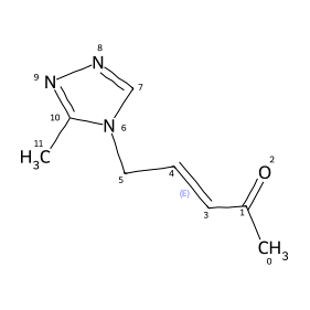 CC(=O)/C=C/Cn1cnnc1C